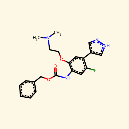 CN(C)CCOc1cc(-c2cn[nH]c2)c(F)cc1NC(=O)OCc1ccccc1